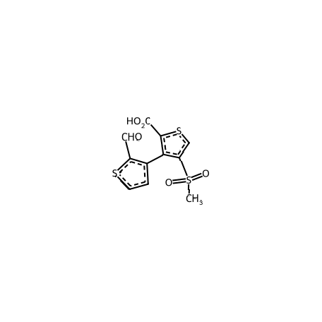 CS(=O)(=O)c1csc(C(=O)O)c1-c1ccsc1C=O